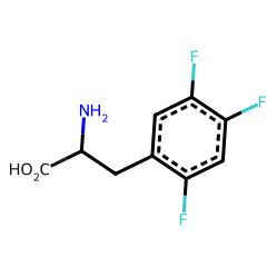 NC(Cc1cc(F)c(F)cc1F)C(=O)O